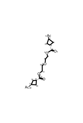 CC(=O)[C@H]1C[C@H](C(=O)OCCOCCOC(=O)[C@H]2C[C@H](C(C)=O)C2)C1